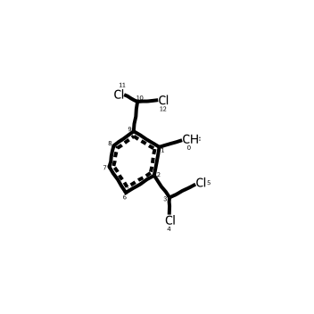 [CH]c1c(C(Cl)Cl)cccc1C(Cl)Cl